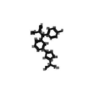 Cc1ccc(N(C(=O)C(C)C)c2nccc(-c3csc(C(F)F)c3)n2)cc1